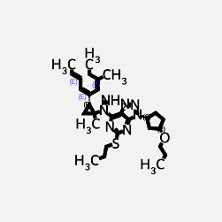 C/C=C/C=C(\C=C(\C)CC)[C@H]1CC1(C)N(N)c1nc(SCCC)nc2c1nnn2[C@H]1CC[C@@H](OCCC)C1